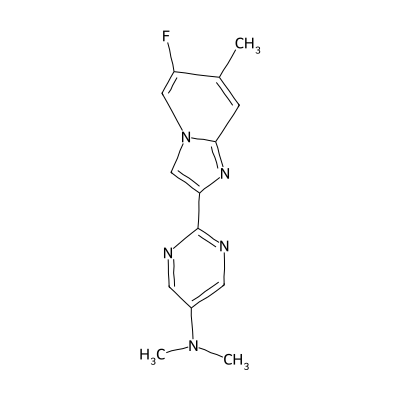 Cc1cc2nc(-c3ncc(N(C)C)cn3)cn2cc1F